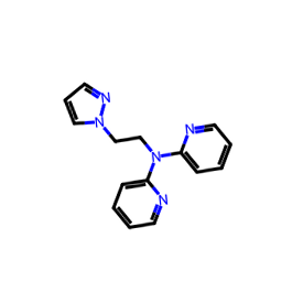 c1ccc(N(CCn2cccn2)c2ccccn2)nc1